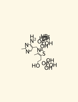 Br.Cc1ncc(C[n+]2csc(CCO)c2C)c(N)n1.Cl.O=P(O)(O)O.O=P(O)(O)O